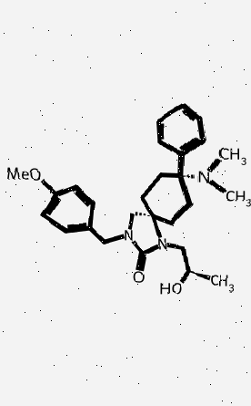 COc1ccc(CN2C[C@]3(CC[C@@](c4ccccc4)(N(C)C)CC3)N(C[C@@H](C)O)C2=O)cc1